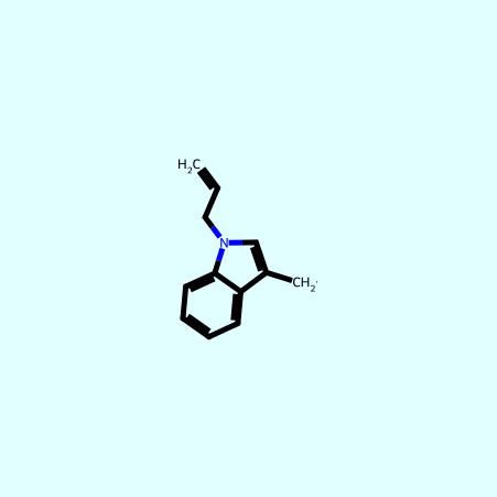 [CH2]c1cn(CC=C)c2ccccc12